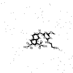 COc1nc(NCCN)nc(Nc2ccc3cc(S(=O)(=O)O)cc(S(=O)(=O)O)c3c2)n1